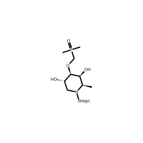 CCCCCCCN1C[C@H](O)[C@@H](OCP(C)(C)=O)[C@@H](O)[C@H]1C